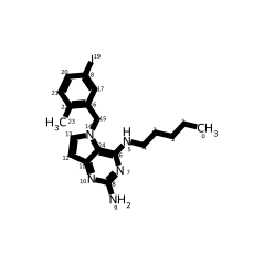 CCCCCNc1nc(N)nc2ccn(Cc3cc(I)ccc3C)c12